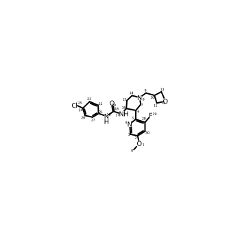 COc1cnc(C2CN(CC3COC3)CCC2NC(=O)Nc2ccc(Cl)cc2)c(F)c1